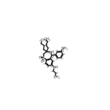 CCCCC1(CCCC)CS(=O)(=O)c2ccc(NCCC)cc2C(c2cccc(N)c2)N1